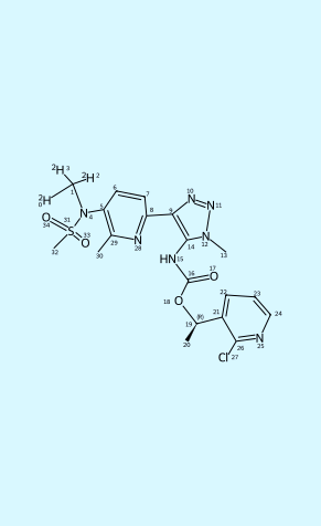 [2H]C([2H])([2H])N(c1ccc(-c2nnn(C)c2NC(=O)O[C@H](C)c2cccnc2Cl)nc1C)S(C)(=O)=O